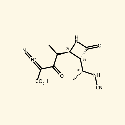 CC(C(=O)C(=[N+]=[N-])C(=O)O)[C@H]1NC(=O)[C@@H]1[C@@H](C)NC#N